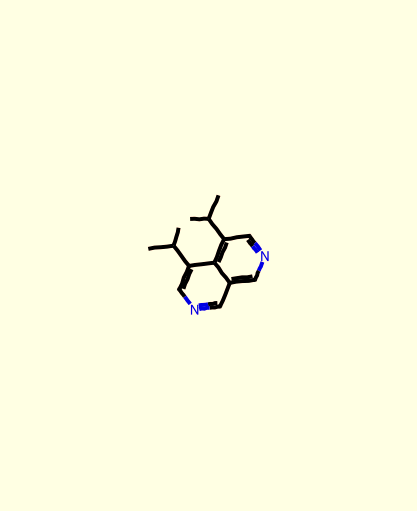 CC(C)c1cncc2cncc(C(C)C)c12